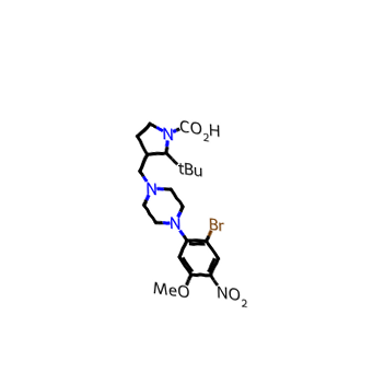 COc1cc(N2CCN(CC3CCN(C(=O)O)C3C(C)(C)C)CC2)c(Br)cc1[N+](=O)[O-]